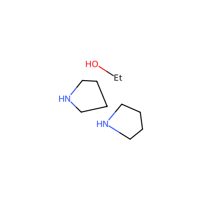 C1CCNC1.C1CCNC1.CCO